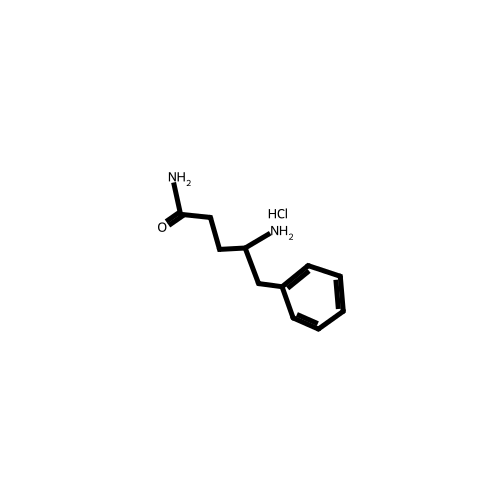 Cl.NC(=O)CCC(N)Cc1ccccc1